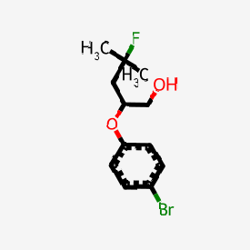 CC(C)(F)CC(CO)Oc1ccc(Br)cc1